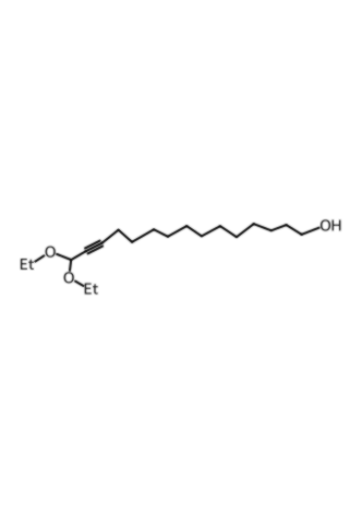 CCOC(C#CCCCCCCCCCCCCO)OCC